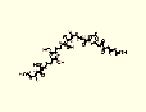 CC(=O)N[C@@H](CCCN(O)C(=O)/C=C(\C)CCO)C(=O)OCC/C(C)=C/C(=O)N(O)CCCC1N=C(O)C(CCCN(O)C(=O)/C=C(\C)CCO)N=C1O